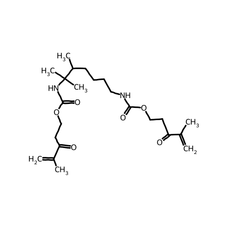 C=C(C)C(=O)CCOC(=O)NCCCCC(C)C(C)(C)NC(=O)OCCC(=O)C(=C)C